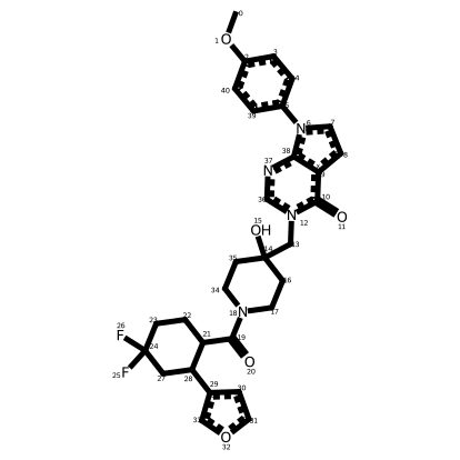 COc1ccc(-n2ccc3c(=O)n(CC4(O)CCN(C(=O)C5CCC(F)(F)CC5c5ccoc5)CC4)cnc32)cc1